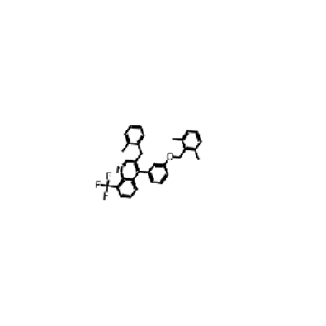 Cc1ccccc1Cc1cnc2c(C(F)(F)F)cccc2c1-c1cccc(OCc2c(C)cccc2C)c1